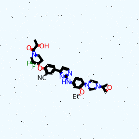 CCOc1cc(Nc2nccc(-c3ccc(OC4CCN(C(=O)C(C)O)CC4(F)F)c(C#N)c3)n2)ccc1N1CCN(C2COC2)CC1